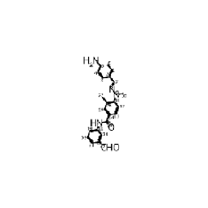 C/C=C(\C=C/CN)/C=N/N(C)c1ccc(C(=O)Nc2cccc(C=O)c2)cc1C